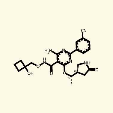 C[C@H](Oc1nc(-c2cccc(C#N)c2)nc(N)c1C(=O)NOCC1(O)CCC1)[C@H]1CNC(=O)C1